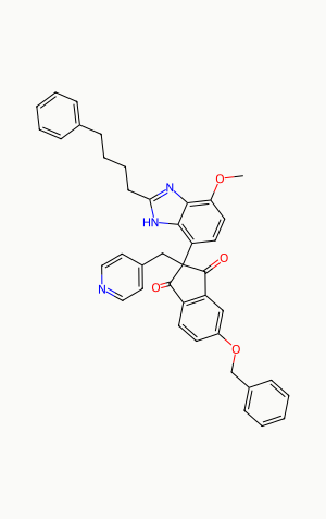 COc1ccc(C2(Cc3ccncc3)C(=O)c3ccc(OCc4ccccc4)cc3C2=O)c2[nH]c(CCCCc3ccccc3)nc12